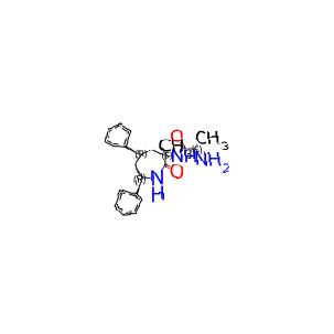 C[C@H](N)C(=O)N[C@@]1(C)C[C@H](c2ccccc2)C[C@H](c2ccccc2)NC1=O